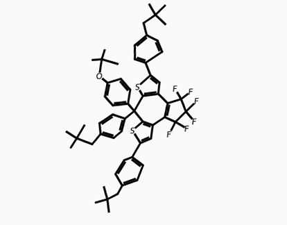 CC(C)(C)Cc1ccc(-c2cc3c(s2)C(c2ccc(CC(C)(C)C)cc2)(c2ccc(OC(C)(C)C)cc2)c2sc(-c4ccc(CC(C)(C)C)cc4)cc2C2=C3C(F)(F)C(F)(F)C2(F)F)cc1